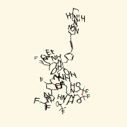 CCC(=O)N[C@H](C(=O)N[C@@H](Cc1ccc(C#Cc2cnc(N3C[C@@H]4CC[C@@H](C3)N4C3COC3)nc2)cc1)[C@@H](O)CN(Cc1c(F)cc(-c2ccn(C(F)F)n2)cc1F)NC(=O)CCC(NCC(=O)C(C)(C)F)(NCC(=O)C(C)(C)F)NCC(=O)C(C)(C)F)C(C)(C)C(F)(F)F